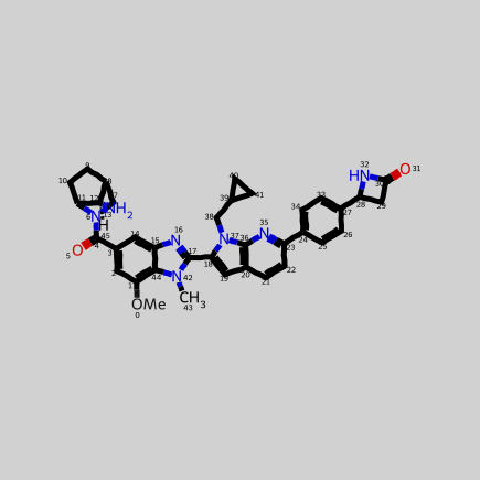 COc1cc(C(=O)N2CC3CCC2[C@@H]3N)cc2nc(-c3cc4ccc(-c5ccc(C6CC(=O)N6)cc5)nc4n3CC3CC3)n(C)c12